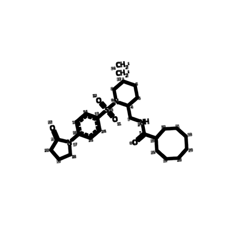 O=C(NCC1CCCCN1S(=O)(=O)c1ccc(N2CCCC2=O)cc1)[C]1CCCCCCC1.[CH2].[CH2]